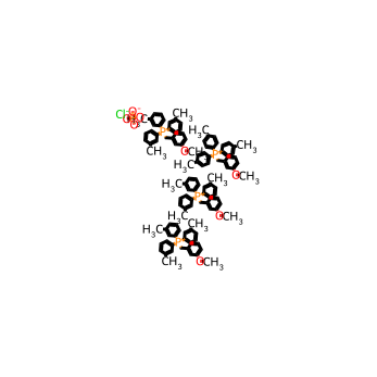 COc1cccc(C[P+](c2ccc(C)cc2)(c2ccc(C)cc2)c2ccc(C)cc2)c1.COc1cccc(C[P+](c2cccc(C)c2)(c2cccc(C)c2)c2cccc(C)c2)c1.COc1cccc(C[P+](c2cccc(C)c2)(c2cccc(C)c2)c2cccc(C)c2)c1.COc1cccc(C[P+](c2cccc(C)c2)(c2cccc(C)c2)c2cccc(C)c2)c1.O=P([O-])([O-])[O-].[Cl-]